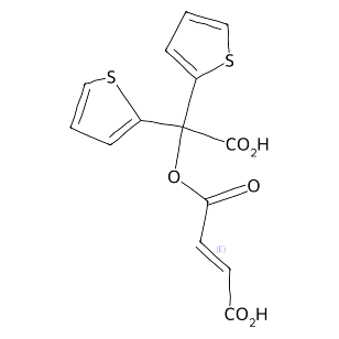 O=C(O)/C=C/C(=O)OC(C(=O)O)(c1cccs1)c1cccs1